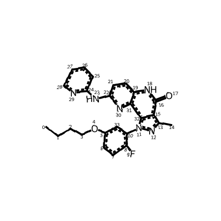 CCCCOc1ccc(F)c(-n2nc(C)c3c(=O)[nH]c4ccc(Nc5ccccn5)nc4c32)c1